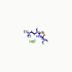 Br.CCN(CC)CCN(C)C1NC(N(C)C)SS1